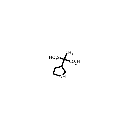 CC(C(=O)O)(C1CCNC1)S(=O)(=O)O